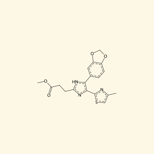 COC(=O)CCc1nc(-c2nc(C)cs2)c(-c2ccc3c(c2)OCO3)[nH]1